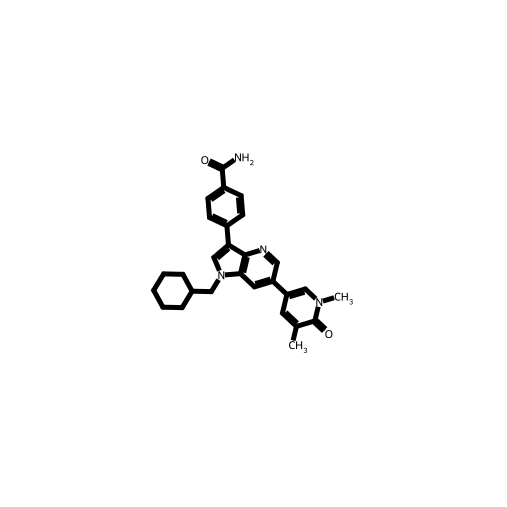 Cc1cc(-c2cnc3c(-c4ccc(C(N)=O)cc4)cn(CC4CCCCC4)c3c2)cn(C)c1=O